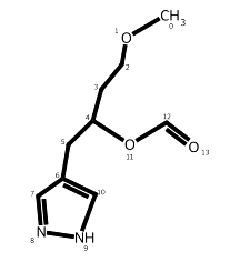 COCCC(Cc1cn[nH]c1)OC=O